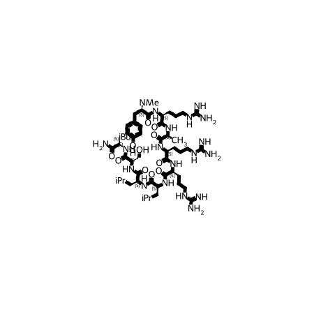 CC[C@H](C)[C@H](NC(=O)[C@H](CO)NC(=O)[C@H](CC(C)C)NC(=O)[C@H](CC(C)C)NC(=O)[C@H](CCCNC(=N)N)NC(=O)[C@H](CCCNC(=N)N)NC(=O)[C@H](C)NC(=O)[C@H](CCCNC(=N)N)NC(=O)[C@H](Cc1ccc(O)cc1)NC)C(N)=O